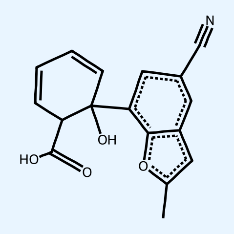 Cc1cc2cc(C#N)cc(C3(O)C=CC=CC3C(=O)O)c2o1